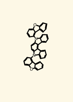 c1ccc2c(c1)oc1cccc(-n3c4ccccc4c4c5c6ccccc6n(-c6cccc7oc8ccccc8c67)c5ccc43)c12